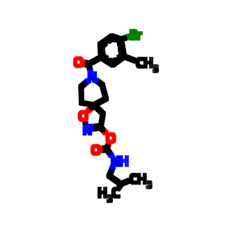 Cc1cc(C(=O)N2CCC3(CC2)CC(OC(=O)NCC(C)C)=NO3)ccc1Br